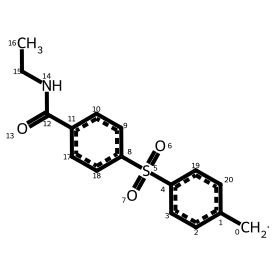 [CH2]c1ccc(S(=O)(=O)c2ccc(C(=O)NCC)cc2)cc1